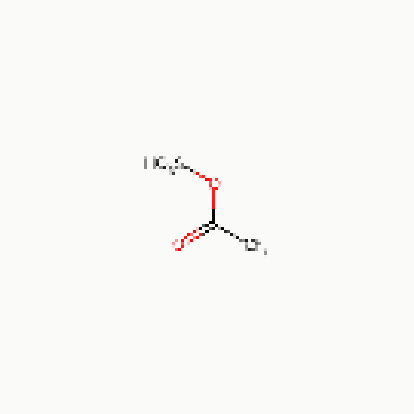 O=C(OS(=O)(=O)O)C(F)(F)F